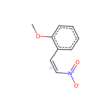 COc1ccccc1/C=C\[N+](=O)[O-]